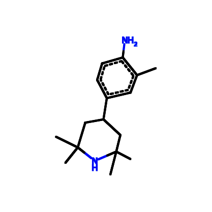 Cc1cc(C2CC(C)(C)NC(C)(C)C2)ccc1N